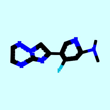 CN(C)c1cc(F)c(-c2cn3nccnc3n2)cn1